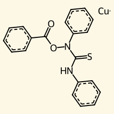 O=C(ON(C(=S)Nc1ccccc1)c1ccccc1)c1ccccc1.[Cu]